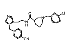 N#Cc1ccc(Cn2cncc2CCNC(=O)C2CCCN(Cc3cccc(Cl)c3)C2)cc1